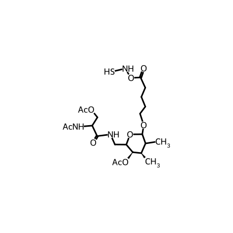 CC(=O)NC(COC(C)=O)C(=O)NCC1OC(OCCCCC(=O)ONS)C(C)[C@@H](C)[C@H]1OC(C)=O